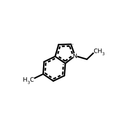 CCn1[c]cc2cc(C)ccc21